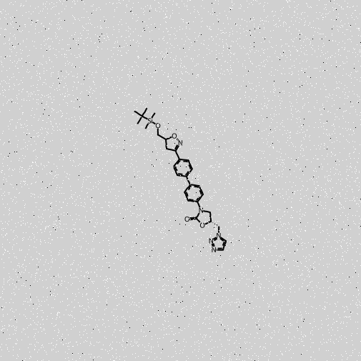 CC(C)(C)[Si](C)(C)OCC1CC(c2ccc(-c3ccc(N4C[C@H](Cn5ccnn5)OC4=O)cc3)cc2)=NO1